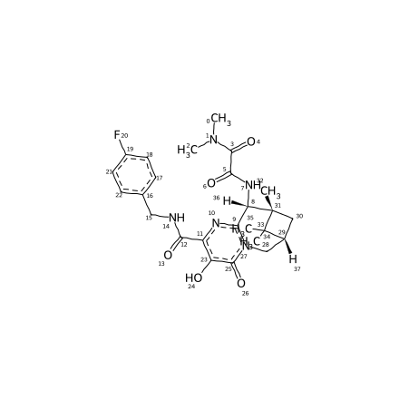 CN(C)C(=O)C(=O)N[C@H]1c2nc(C(=O)NCc3ccc(F)cc3)c(O)c(=O)n2C[C@H]2C[C@]1(C)C2(C)C